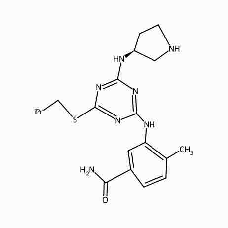 Cc1ccc(C(N)=O)cc1Nc1nc(N[C@H]2CCNC2)nc(SCC(C)C)n1